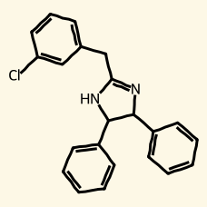 Clc1cccc(CC2=NC(c3ccccc3)C(c3ccccc3)N2)c1